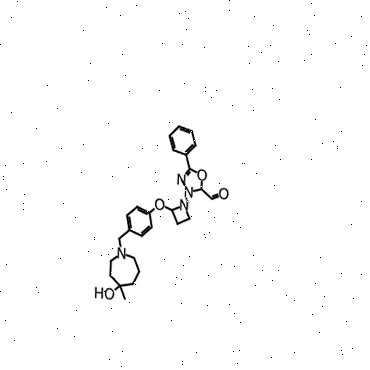 CC1(O)CCCN(Cc2ccc(OC3CCN3N3N=C(c4ccccc4)OC3C=O)cc2)CC1